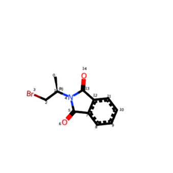 C[C@H](CBr)N1C(=O)c2ccccc2C1=O